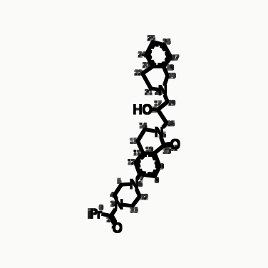 CC(C)C(=O)N1CCN(c2ccc3c(c2)CCN(CC(O)CN2CCc4ccccc4C2)C3=O)CC1